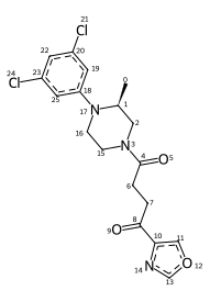 C[C@H]1CN(C(=O)CCC(=O)c2cocn2)CCN1c1cc(Cl)cc(Cl)c1